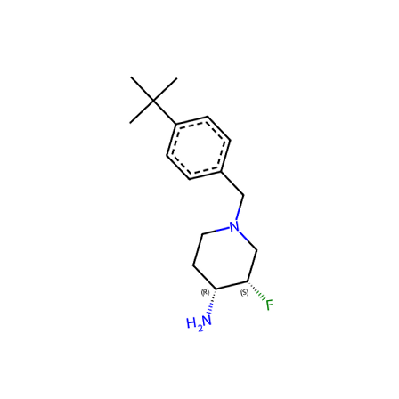 CC(C)(C)c1ccc(CN2CC[C@@H](N)[C@@H](F)C2)cc1